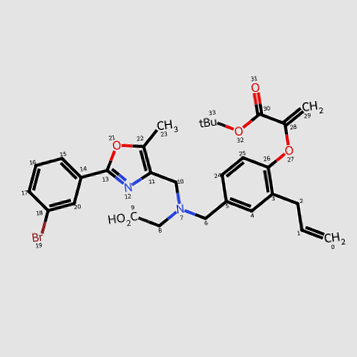 C=CCc1cc(CN(CC(=O)O)Cc2nc(-c3cccc(Br)c3)oc2C)ccc1OC(=C)C(=O)OC(C)(C)C